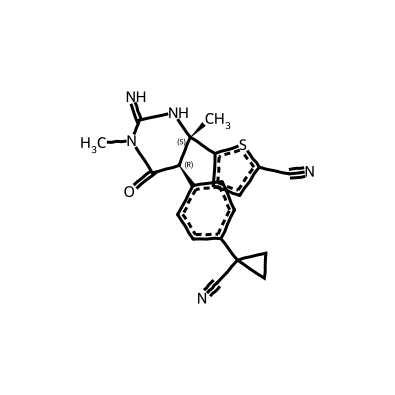 CN1C(=N)N[C@](C)(c2ccc(C#N)s2)[C@@H](c2ccc(C3(C#N)CC3)cc2)C1=O